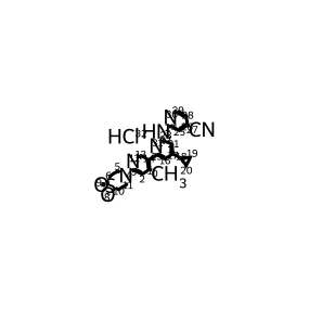 Cc1cc(N2CCS(=O)(=O)CC2)ncc1-c1cc(C2CC2)cc(Nc2cc(C#N)ccn2)n1.Cl